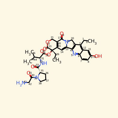 CCc1c2c(nc3ccc(O)cc13)-c1cc3c(c(=O)n1C2)COC(=O)[C@@]3(CC)OC(=O)[C@@H](NC(=O)[C@@H]1CCCN1C(=O)CN)C(C)C